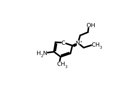 CC[N+](CCO)=C1C=C(C)C(N)=CC1